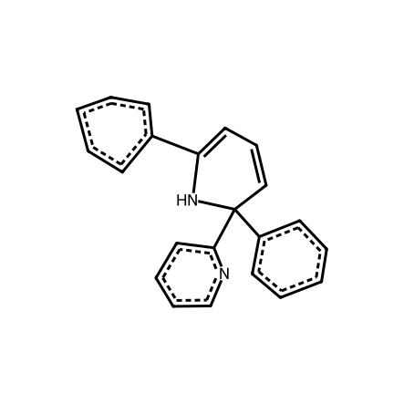 C1=CC(c2ccccc2)(c2ccccn2)NC(c2ccccc2)=C1